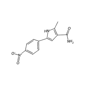 Cc1[nH]c(-c2ccc([N+](=O)[O-])cc2)cc1C(N)=O